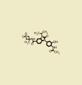 CC(=O)Nc1ccc(-n2c(=O)n(C(C)C)c3cc(C(=O)NC4(C)CS(=O)(=O)C4)ccc32)cc1O